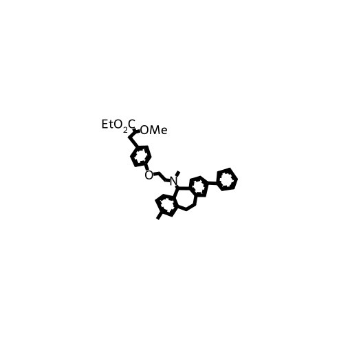 CCOC(=O)C(Cc1ccc(OCCN(C)C2c3ccc(C)cc3CCc3cc(-c4ccccc4)ccc32)cc1)OC